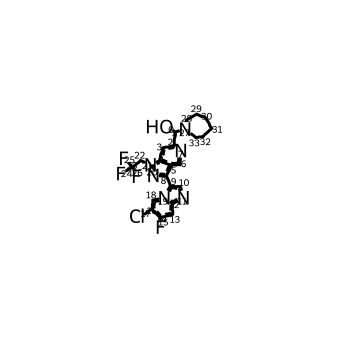 OC(c1cc2c(cn1)c(-c1cnc3cc(F)c(Cl)cn13)nn2CC(F)(F)F)N1CCCCCC1